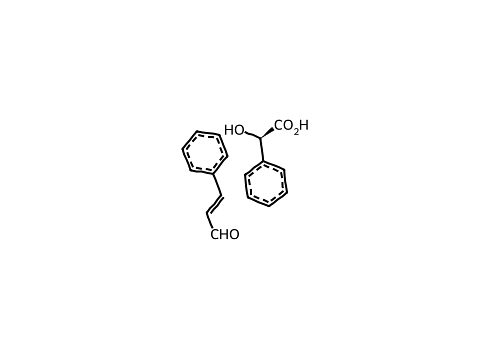 O=C(O)[C@H](O)c1ccccc1.O=C/C=C/c1ccccc1